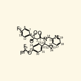 O=C(CS(=O)(=O)c1ccc(F)cc1)N(Cc1ccccn1)C(c1ccc(OC(F)F)cc1)C1CC1